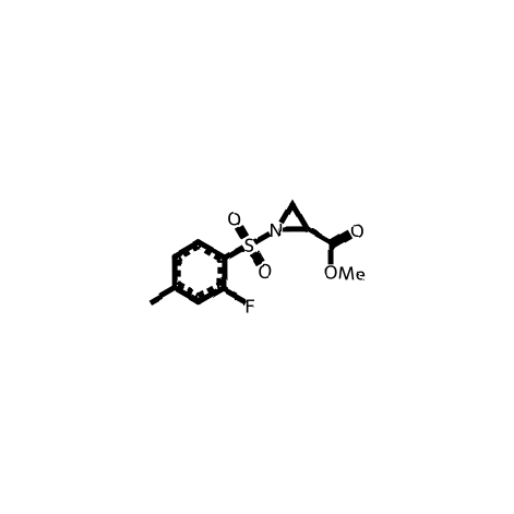 COC(=O)C1CN1S(=O)(=O)c1ccc(C)cc1F